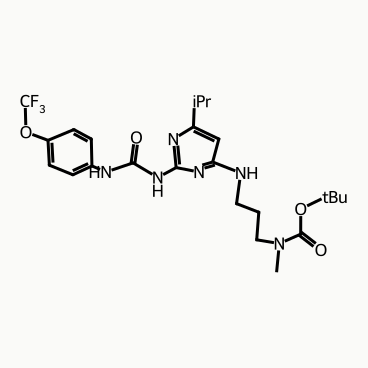 CC(C)c1cc(NCCCN(C)C(=O)OC(C)(C)C)nc(NC(=O)Nc2ccc(OC(F)(F)F)cc2)n1